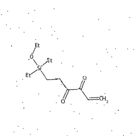 C=CC(=O)C(=O)CC[Si](CC)(CC)OCC